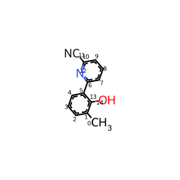 Cc1cccc(-c2cccc(C#N)n2)c1O